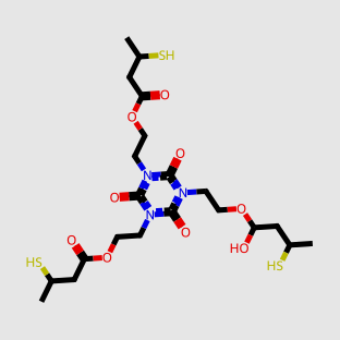 CC(S)CC(=O)OCCn1c(=O)n(CCOC(=O)CC(C)S)c(=O)n(CCOC(O)CC(C)S)c1=O